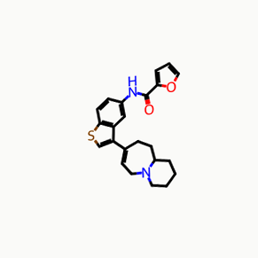 O=C(Nc1ccc2scc(C3=CCN4CCCCC4CC3)c2c1)c1ccco1